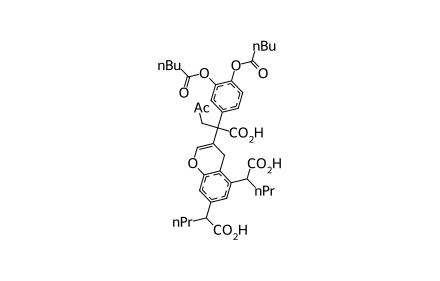 CCCCC(=O)Oc1ccc(C(CC(C)=O)(C(=O)O)C2=COc3cc(C(CCC)C(=O)O)cc(C(CCC)C(=O)O)c3C2)cc1OC(=O)CCCC